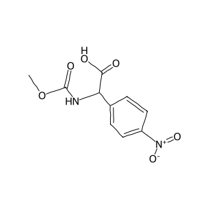 COC(=O)NC(C(=O)O)c1ccc([N+](=O)[O-])cc1